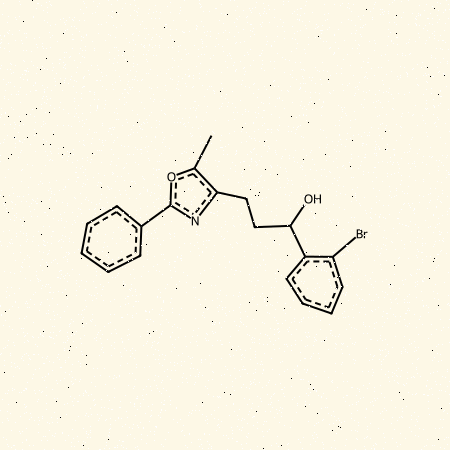 Cc1oc(-c2ccccc2)nc1CCC(O)c1ccccc1Br